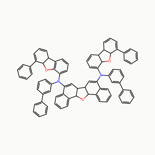 C1=CC2c3cccc(N(C4=CC5C(OC6c7ccccc7C(N(C7=CC=CC8C7OC7C(c9ccccc9)=CC=CC78)c7cccc(-c8ccccc8)c7)=CC65)c5ccccc54)c4cccc(-c5ccccc5)c4)c3OC2C(c2ccccc2)=C1